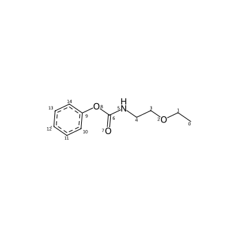 CCOCCNC(=O)Oc1cc[c]cc1